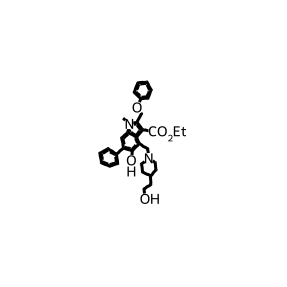 CCOC(=O)c1c(COc2ccccc2)n(C)c2cc(-c3ccccc3)c(O)c(CN3CCC(CCO)CC3)c12